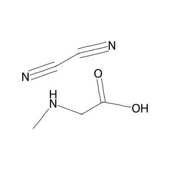 CNCC(=O)O.N#CC#N